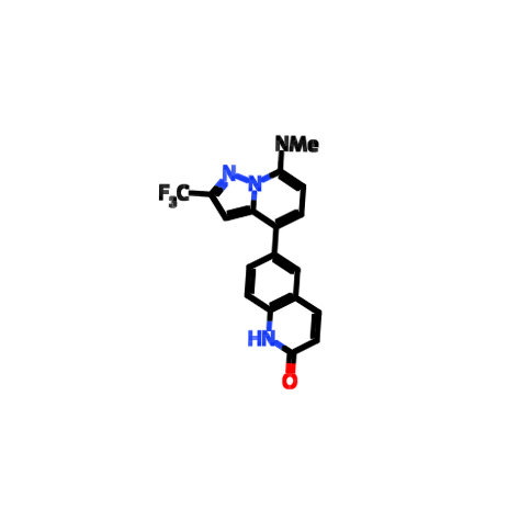 CNc1ccc(-c2ccc3[nH]c(=O)ccc3c2)c2cc(C(F)(F)F)nn12